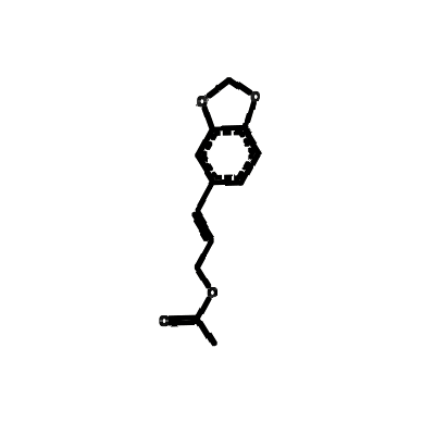 CC(=O)OC/C=C/c1ccc2c(c1)OCO2